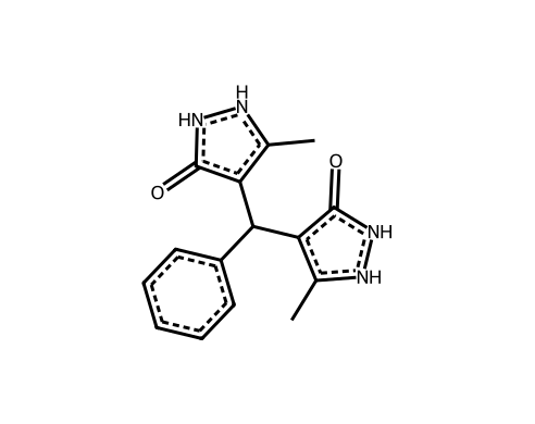 Cc1[nH][nH]c(=O)c1C(c1ccccc1)c1c(C)[nH][nH]c1=O